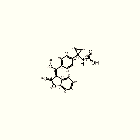 CO/C(=C1\C(=O)Oc2ccccc21)c1ccc(C2(NC(=O)O)CC2)cc1